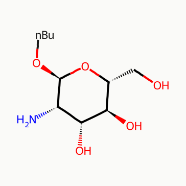 CCCCO[C@H]1O[C@H](CO)[C@@H](O)[C@H](O)[C@@H]1N